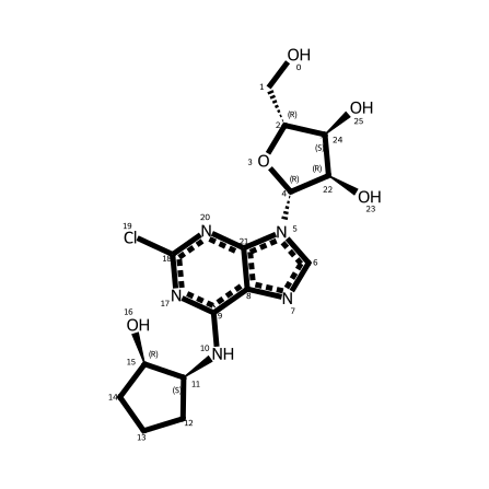 OC[C@H]1O[C@@H](n2cnc3c(N[C@H]4CCC[C@H]4O)nc(Cl)nc32)[C@H](O)[C@@H]1O